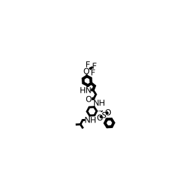 CC(C)CN[C@@H]1CC[C@H](NC(=O)Cc2cc3cc(OC(F)(F)F)ccc3[nH]2)[C@H](CS(=O)(=O)c2ccccc2)C1